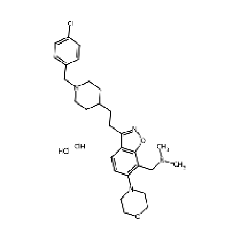 CN(C)Cc1c(N2CCOCC2)ccc2c(CCC3CCN(Cc4ccc(Cl)cc4)CC3)noc12.Cl.Cl